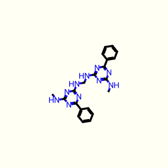 CNc1nc(NCNc2nc(NC)nc(-c3ccccc3)n2)nc(-c2ccccc2)n1